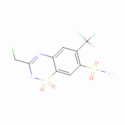 NS(=O)(=O)c1cc2c(cc1C(F)(F)F)N=C(CCl)NS2(=O)=O